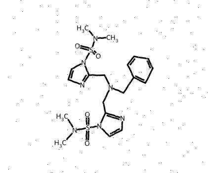 CN(C)S(=O)(=O)n1ccnc1CN(Cc1ccccc1)Cc1nccn1S(=O)(=O)N(C)C